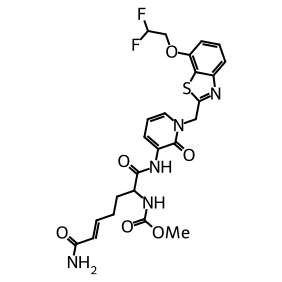 COC(=O)NC(CC/C=C/C(N)=O)C(=O)Nc1cccn(Cc2nc3cccc(OCC(F)F)c3s2)c1=O